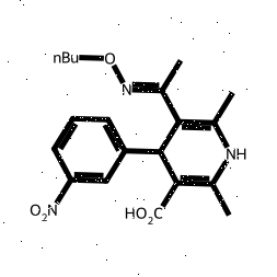 CCCCON=C(C)C1=C(C)NC(C)=C(C(=O)O)C1c1cccc([N+](=O)[O-])c1